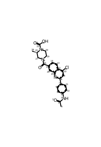 CC(=O)Nc1ccc(-c2cc(Cl)c3ccc(C(=O)N4CCN(C(=O)O)[C@H](C)C4)cc3n2)cc1